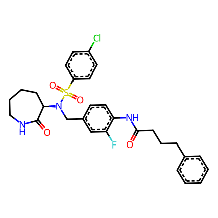 O=C(CCCc1ccccc1)Nc1ccc(CN([C@@H]2CCCCNC2=O)S(=O)(=O)c2ccc(Cl)cc2)cc1F